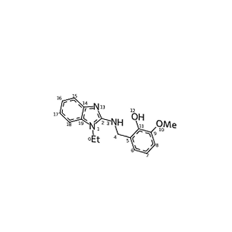 CCn1c(NCc2cccc(OC)c2O)nc2ccccc21